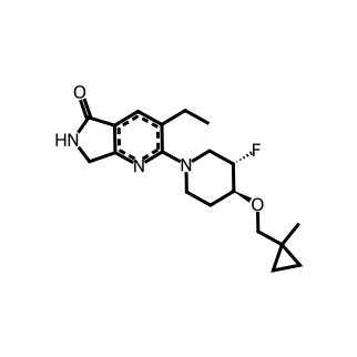 CCc1cc2c(nc1N1CC[C@H](OCC3(C)CC3)[C@@H](F)C1)CNC2=O